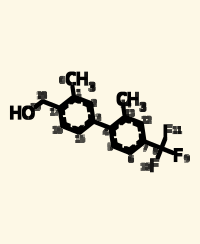 Cc1cc(-c2ccc(C(F)(F)F)cc2C)ccc1CO